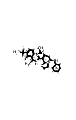 Cc1nc(CC(=O)NC23CCC(CC2)CC3)c(C2OCCO2)c(NC(C)c2cccc(C(C)(F)F)c2F)n1